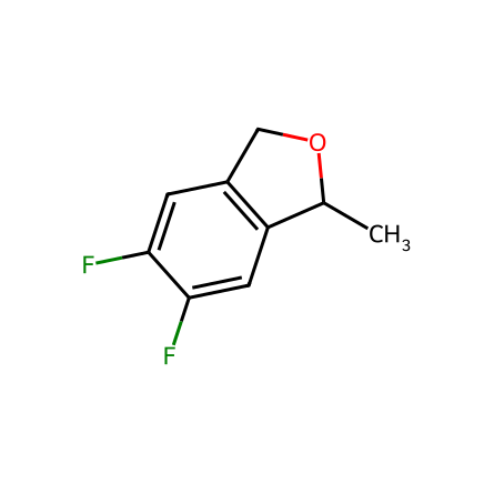 CC1OCc2cc(F)c(F)cc21